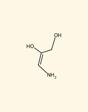 N/C=C(/O)CO